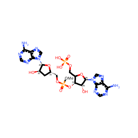 COP(=O)(OC[C@@H]1C[C@@H](O)[C@H](n2cnc3c(N)ncnc32)O1)O[C@@H]1C(COP(=O)(O)O)O[C@@H](n2cnc3c(N)ncnc32)[C@@H]1O